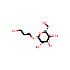 OCCCO[C@@H]1O[C@H](CO)[C@@H](O)[C@H](O)[C@@H]1O